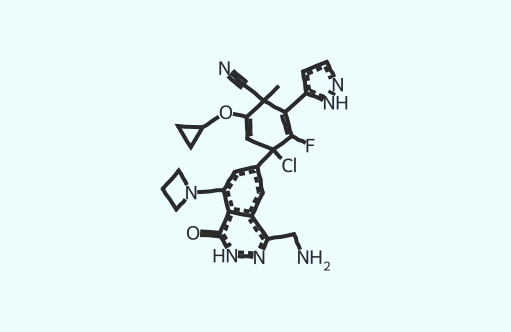 CC1(C#N)C(OC2CC2)=CC(Cl)(c2cc(N3CCC3)c3c(=O)[nH]nc(CN)c3c2)C(F)=C1c1ccn[nH]1